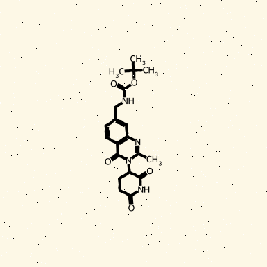 Cc1nc2cc(CNC(=O)OC(C)(C)C)ccc2c(=O)n1C1CCC(=O)NC1=O